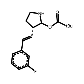 CC(C)(C)C(=O)OC1NCC[C@H]1/C=C/c1cccc(F)c1